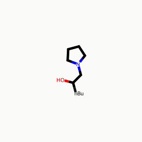 CCCCC(O)CN1CCCC1